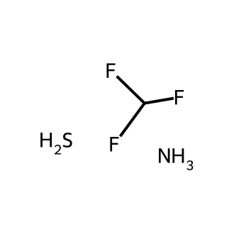 FC(F)F.N.S